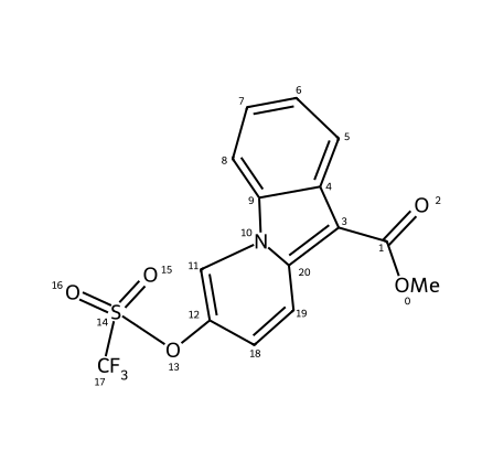 COC(=O)c1c2ccccc2n2cc(OS(=O)(=O)C(F)(F)F)ccc12